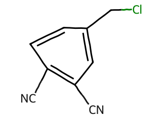 N#Cc1ccc(CCl)cc1C#N